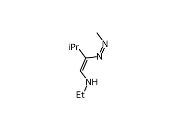 CCN/C=C(\N=N/C)C(C)C